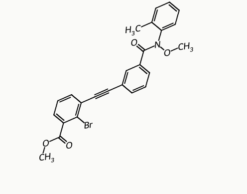 COC(=O)c1cccc(C#Cc2cccc(C(=O)N(OC)c3ccccc3C)c2)c1Br